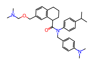 CC(C)c1ccc(N(Cc2ccc(N(C)C)cc2)C(=O)C2CCCc3ccc(COCN(C)C)cc32)cc1